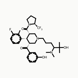 Cc1c(F)cccc1[C@H]1[C@@H](C(=O)c2cccc(O)c2)CN(CCCC(N(C)C)C(C)(C)O)C[C@H]1C(=O)N1CCC[C@H]1C(F)(F)F